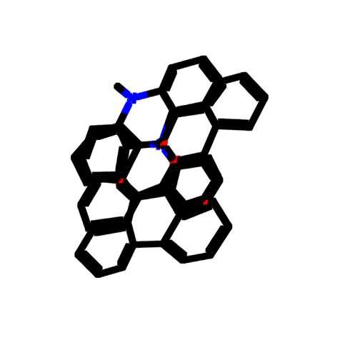 CN1c2ccccc2B(c2c(-c3ccccc3)cccc2-c2ccccc2CN2c3ccccc3B(c3ccccc3-c3ccccc3)c3ccccc32)c2ccccc21